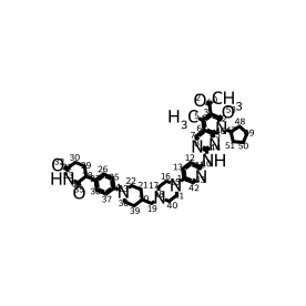 CC(=O)c1c(C)c2cnc(Nc3ccc(N4CCN(CC5CCN(c6ccc(C7CCC(=O)NC7=O)cc6)CC5)CC4)cn3)nc2n(C2CCCC2)c1=O